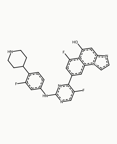 Oc1cc2nccn2c2cc(-c3nc(Nc4ccc(C5CCNCC5)c(F)c4)ncc3F)cc(F)c12